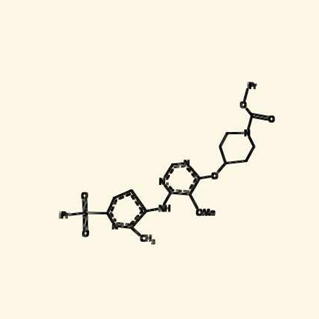 COc1c(Nc2ccc(S(=O)(=O)C(C)C)nc2C)ncnc1OC1CCN(C(=O)OC(C)C)CC1